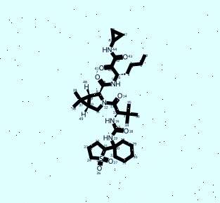 CCCC[C@H](NC(=O)[C@@H]1[C@@H]2[C@H](CN1C(=O)[C@@H](NC(=O)NC1(C3CCCS3(=O)=O)CCCCC1)C(C)(C)C)C2(C)C)C(=O)C(=O)NC1CC1